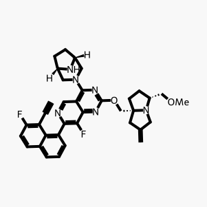 C#Cc1c(F)ccc2cccc(-c3ncc4c(N5C[C@H]6CC[C@@H](C5)N6)nc(OC[C@]56CC[C@H](COC)N5CC(=C)C6)nc4c3F)c12